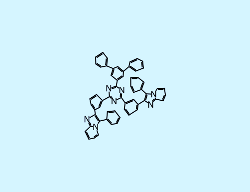 c1ccc(-c2cc(-c3ccccc3)cc(-c3nc(-c4cccc(-c5nc6ccccn6c5-c5ccccc5)c4)nc(-c4cccc(-c5nc6ccccn6c5-c5ccccc5)c4)n3)c2)cc1